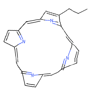 CCCC1=CC2=CC3=NC(=CC4=NC(=CC5=NC(=CC1=N2)C=C5)C=C4)C=C3